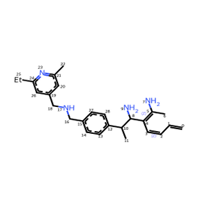 C=C/C=C\C(=C(/C)N)C(N)C(C)c1ccc(CNCc2cc(C)nc(CC)c2)cc1